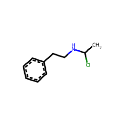 CC(Cl)NCCc1ccccc1